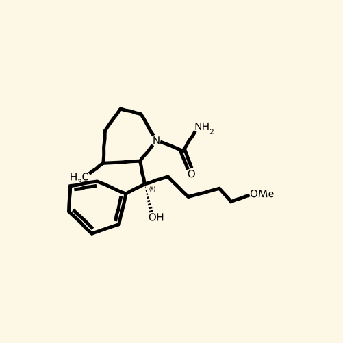 COCCCC[C@@](O)(c1ccccc1)C1C(C)CCCN1C(N)=O